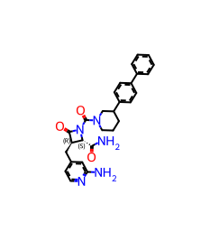 NC(=O)[C@@H]1[C@@H](Cc2ccnc(N)c2)C(=O)N1C(=O)N1CCCC(c2ccc(-c3ccccc3)cc2)C1